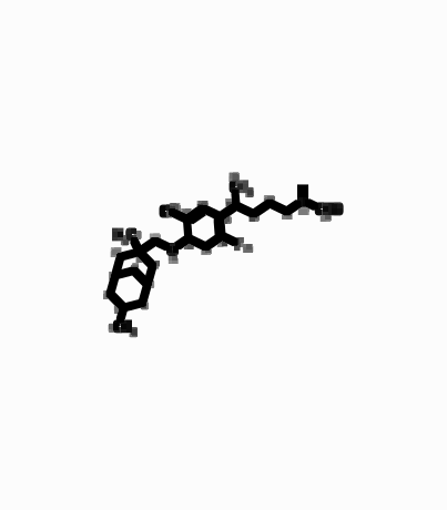 CC1CC2CC(C1)CC(C)(COC1CC(F)=C(C(C)CCCNC=O)C=C1Cl)C2